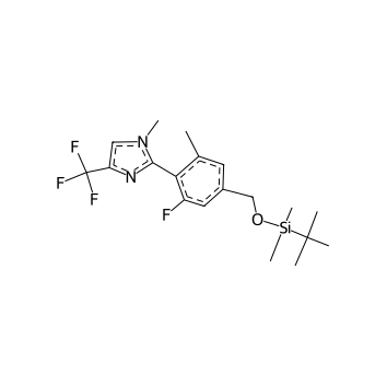 Cc1cc(CO[Si](C)(C)C(C)(C)C)cc(F)c1-c1nc(C(F)(F)F)cn1C